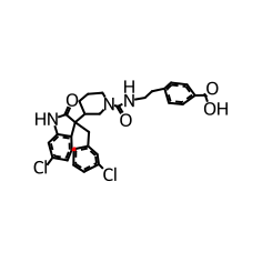 O=C(O)c1ccc(CCNC(=O)N2CCCC(C3(Cc4cccc(Cl)c4)C(=O)Nc4cc(Cl)ccc43)C2)cc1